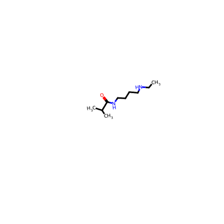 CCNCCCCNC(=O)C(C)C